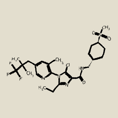 CCc1nc(C(=O)NC[C@H]2CC[C@H](S(C)(=O)=O)CC2)c(Cl)n1-c1ncc(CC(C)(C)C(F)(F)F)cc1C